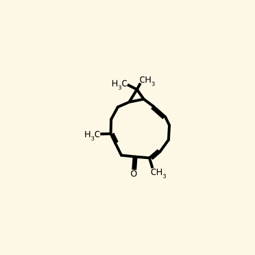 C/C1=C/CC(=O)/C(C)=C\CC/C=C\C2C(CC1)C2(C)C